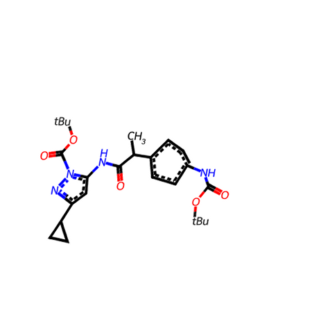 CC(C(=O)Nc1cc(C2CC2)nn1C(=O)OC(C)(C)C)c1ccc(NC(=O)OC(C)(C)C)cc1